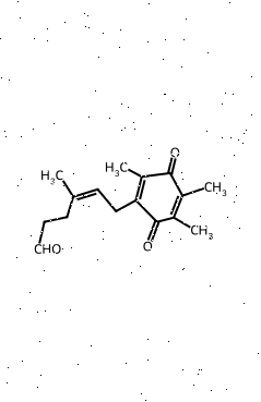 CC(=CCC1=C(C)C(=O)C(C)=C(C)C1=O)CC[C]=O